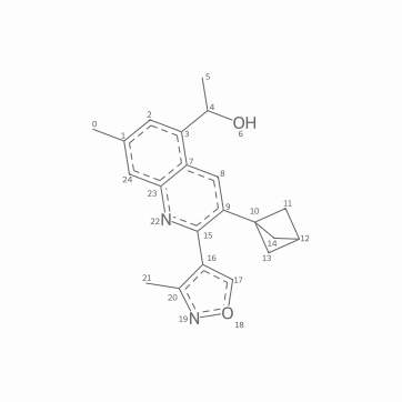 Cc1cc(C(C)O)c2cc(C34CC(C3)C4)c(-c3conc3C)nc2c1